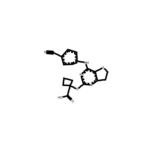 N#Cc1ccc(Nc2nc(SC3(C(=O)O)CCC3)nc3c2SCC3)cc1